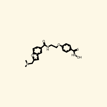 CN(C)Cc1cc2cc(C(=O)NCCOc3ccc(C(=S)NO)cc3)ccc2o1